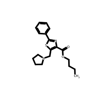 CCCCOC(=O)c1nc(-c2ccccc2)sc1CN1CCCC1